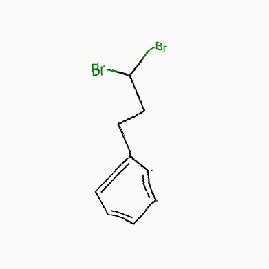 BrC(Br)CCc1[c]cccc1